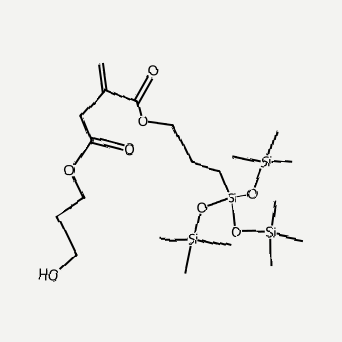 C=C(CC(=O)OCCCO)C(=O)OCCC[Si](O[Si](C)(C)C)(O[Si](C)(C)C)O[Si](C)(C)C